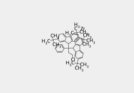 CC(C)(C)c1ccc2c(c1)C(C(CCCl)(c1ccccc1)C1c3cc(C(C)(C)C)ccc3-c3ccc(C(C)(C)C)cc31)c1cc(C(C)(C)C)ccc1-2.[Zr]